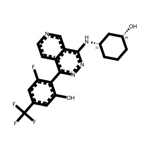 Oc1cc(C(F)(F)F)cc(F)c1-c1nnc(N[C@H]2CCC[C@@H](O)C2)c2cnccc12